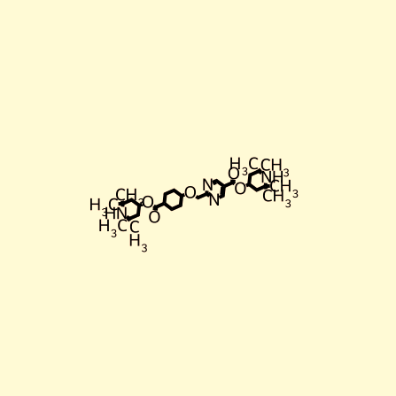 CC1(C)CC(OC(=O)c2cnc(COC3CCC(C(=O)OC4CC(C)(C)NC(C)(C)C4)CC3)nc2)CC(C)(C)N1